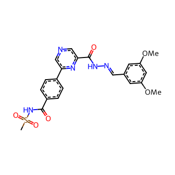 COc1cc(C=NNC(=O)c2cncc(-c3ccc(C(=O)NS(C)(=O)=O)cc3)n2)cc(OC)c1